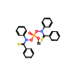 CCOP(=O)(ON(C(=S)c1ccccc1)c1ccccc1)ON(C(=S)c1ccccc1)c1ccccc1